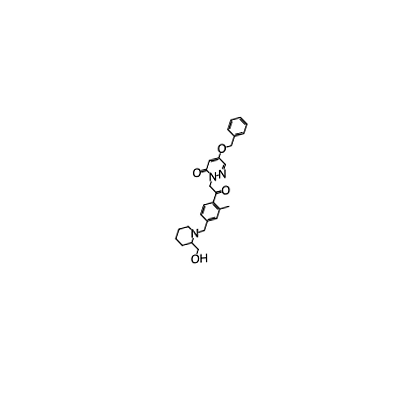 Cc1cc(CN2CCCCC2CO)ccc1C(=O)Cn1ncc(OCc2ccccc2)cc1=O